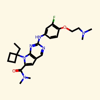 CCC1(n2c(C(=O)N(C)C)cc3cnc(Nc4ccc(OCCN(C)C)c(F)c4)nc32)CCC1